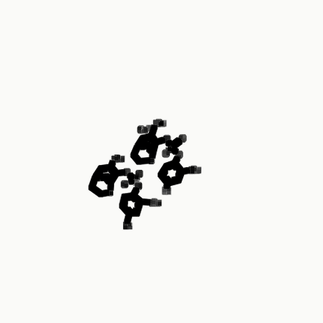 CCc1ccc(OP(=O)([O-])Oc2c3cc(cc2C(C)(C)C)CCS3)c(C(C)(C)C)c1.CCc1ccc(OP(=O)([O-])Oc2c3cc(cc2C(C)(C)C)CCS3)c(C(C)(C)C)c1.[Ca+2]